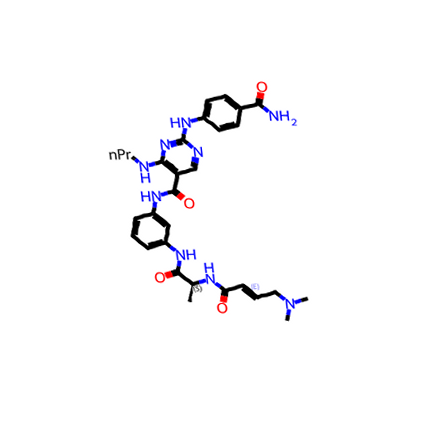 CCCNc1nc(Nc2ccc(C(N)=O)cc2)ncc1C(=O)Nc1cccc(NC(=O)[C@H](C)NC(=O)/C=C/CN(C)C)c1